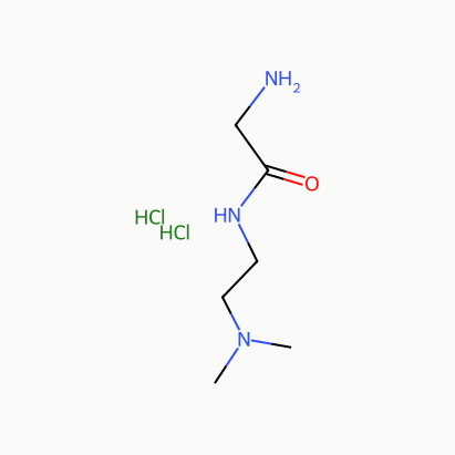 CN(C)CCNC(=O)CN.Cl.Cl